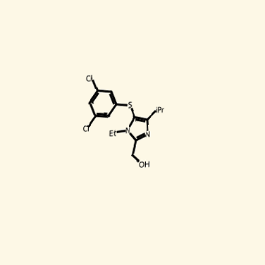 CCn1c(CO)nc(C(C)C)c1Sc1cc(Cl)cc(Cl)c1